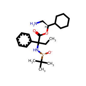 CCC(N[S+]([O-])C(C)(C)C)(C(=O)O[C@@H](CN)C1CCCCC1)c1ccccc1